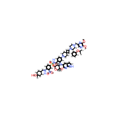 COc1ncc(CN2CCN(C3CC4(CCN(c5ccc(C(=O)NS(=O)(=O)c6ccc(NCC7CCC(C)(O)CC7)c([N+](=O)[O-])c6)c(N6c7cc8cc[nH]c8nc7O[C@H]7COCC[C@@H]76)c5)CC4)C3)[C@@H](c3ccccc3OC(C)C)C2)nc1OC